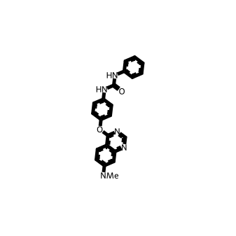 CNc1ccc2c(Oc3ccc(NC(=O)Nc4ccccc4)cc3)ncnc2c1